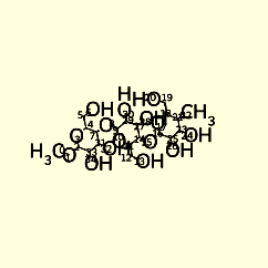 CO[C@@H]1O[C@@H](CO)[C@@H](O[C@@H]2OC(CO)[C@@H](O[C@@H]3O[C@@H](CO)[C@@H](C)C(O)C3O)[C@H](O)C2O)C(O)C1O